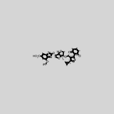 CC(C)Oc1cc(C(=O)O)cc2sc(O[C@H]3CO[C@]4(C)[C@@H](OCc5c(-c6c(Cl)cccc6Cl)noc5C5CC5)CO[C@H]34)nc12